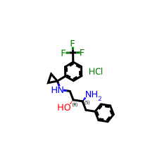 Cl.N[C@@H](Cc1ccccc1)[C@H](O)CNC1(c2cccc(C(F)(F)F)c2)CC1